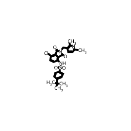 Cc1ccc(CN2C(=O)c3c(Cl)ccc(NS(=O)(=O)c4ccc(C(C)(C)C)cc4)c3C2=O)c(C)n1